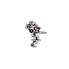 CCCCOSCC(=O)NC(C(=O)NCC(=O)Nc1ccc(COC(=O)N(C)C(C(=O)NCC(=O)N(C)C(C(C)CC)[C@@H](CC(=O)N2CCC[C@H]2[C@H](OC)C(C)C)OC)C(C)C)cc1)C(C)C